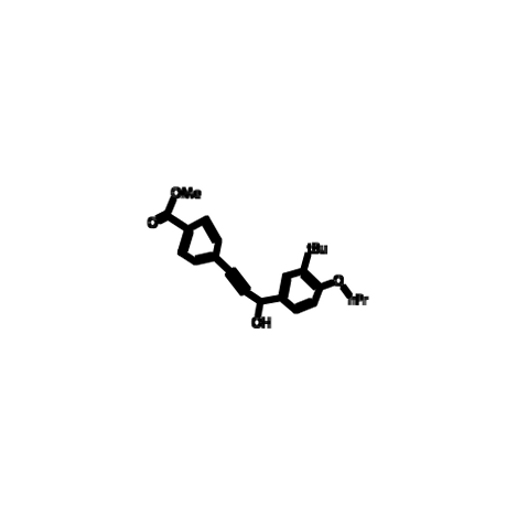 CCCOc1ccc(C(O)C#Cc2ccc(C(=O)OC)cc2)cc1C(C)(C)C